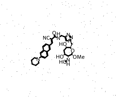 CO[C@H]1O[C@H](Cn2cc(CNC(=O)/C(C#N)=C/c3ccc4cc(N5CCCCC5)ccc4c3)nn2)[C@@H](O)C[C@H](O)[C@H]1NO